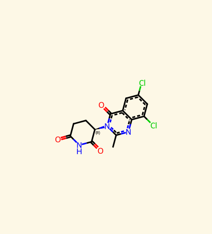 Cc1nc2c(Cl)cc(Cl)cc2c(=O)n1[C@@H]1CCC(=O)NC1=O